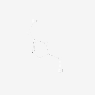 CCOC1=CCC(OCC)O1